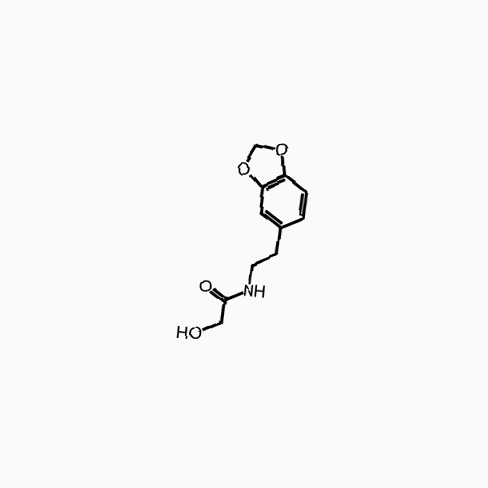 O=C(CO)NCCc1ccc2c(c1)OCO2